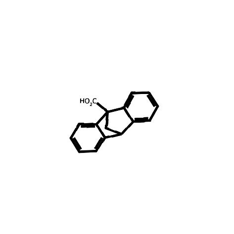 O=C(O)C12CC(c3ccccc31)c1ccccc12